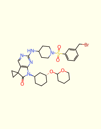 O=C1N([C@@H]2CCC[C@@H](OC3CCCCO3)C2)c2nc(NC3CCN(S(=O)(=O)c4cccc(CBr)c4)CC3)ncc2C12CC2